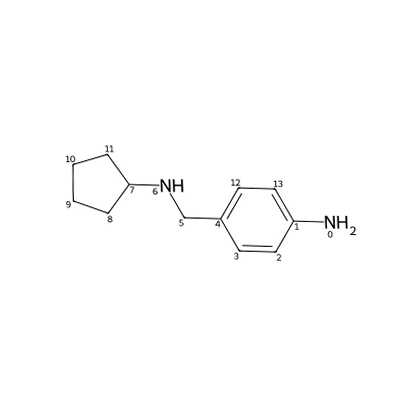 Nc1ccc(CNC2CCCC2)cc1